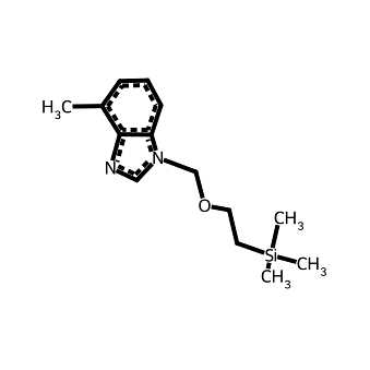 Cc1cccc2c1ncn2COCC[Si](C)(C)C